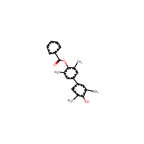 Cc1cc(-c2cc(C)c(OC(=O)c3ccccc3)c(C)c2)cc(C)c1O